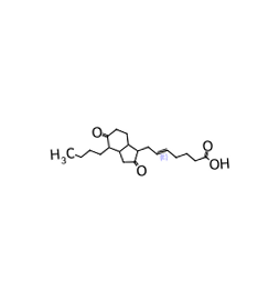 CCCCC1C(=O)CCC2C(C/C=C/CCCC(=O)O)C(=O)CC12